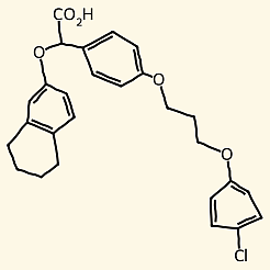 O=C(O)C(Oc1ccc2c(c1)CCCC2)c1ccc(OCCCOc2ccc(Cl)cc2)cc1